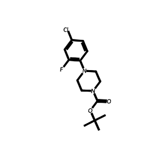 CC(C)(C)OC(=O)N1CCN(c2ccc(Cl)cc2F)CC1